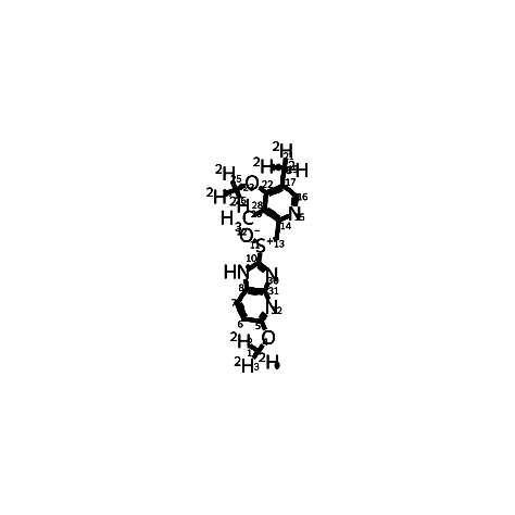 [2H]C([2H])([2H])Oc1ccc2[nH]c([S+]([O-])Cc3ncc(C([2H])([2H])[2H])c(OC([2H])([2H])[2H])c3C)nc2n1